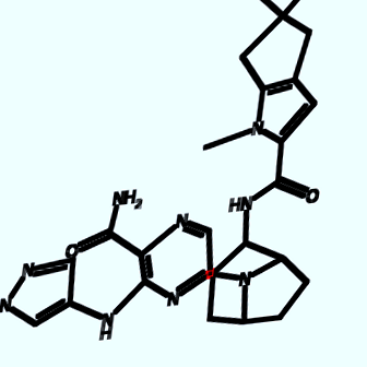 Cn1cc(Nc2nc(N3C4CCC(NC(=O)c5cc6c(n5C)CC(C)(C)C6)C3CC4)cnc2C(N)=O)cn1